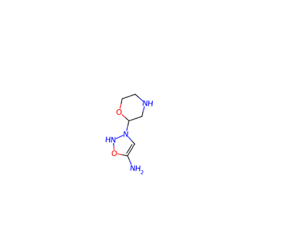 NC1=CN(C2CNCCO2)NO1